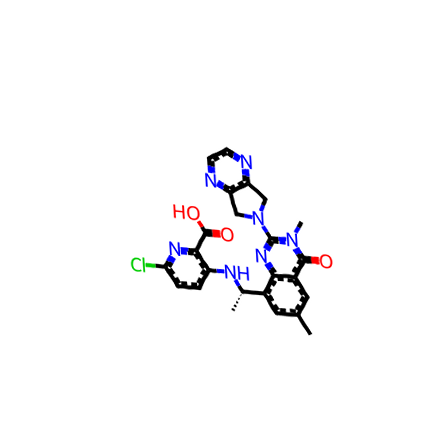 Cc1cc([C@H](C)Nc2ccc(Cl)nc2C(=O)O)c2nc(N3Cc4nccnc4C3)n(C)c(=O)c2c1